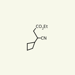 CCOC(=O)CC(C#N)C1CCC1